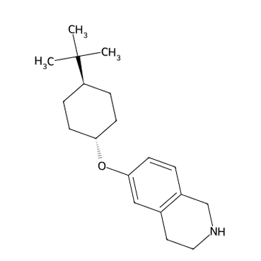 CC(C)(C)[C@H]1CC[C@H](Oc2ccc3c(c2)CCNC3)CC1